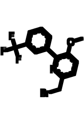 COc1ccc(CBr)nc1-c1cccc(C(F)(F)F)c1